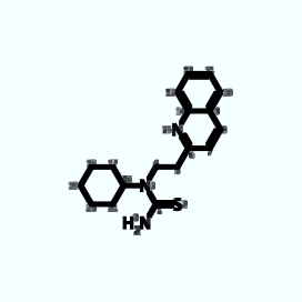 NC(=S)N(CCc1ccc2ccccc2n1)C1CCCCC1